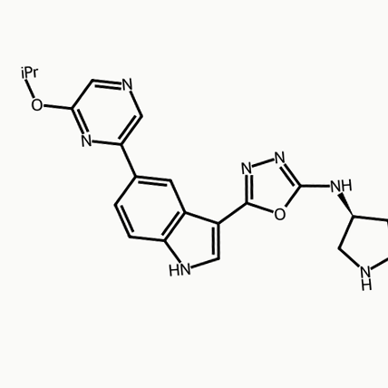 CC(C)Oc1cncc(-c2ccc3[nH]cc(-c4nnc(N[C@H]5CCNC5)o4)c3c2)n1